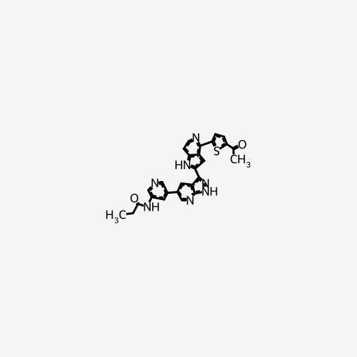 CCC(=O)Nc1cncc(-c2cnc3[nH]nc(-c4cc5c(-c6ccc(C(C)=O)s6)nccc5[nH]4)c3c2)c1